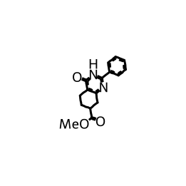 COC(=O)C1CCc2c(nc(-c3ccccc3)[nH]c2=O)C1